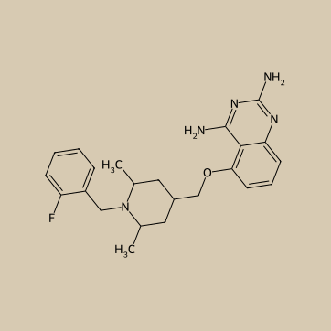 CC1CC(COc2cccc3nc(N)nc(N)c23)CC(C)N1Cc1ccccc1F